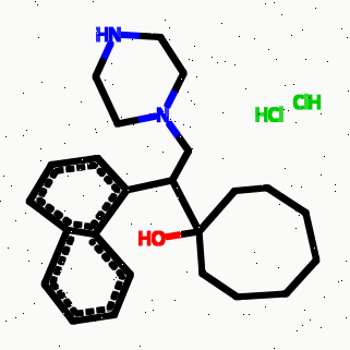 Cl.Cl.OC1(C(CN2CCNCC2)c2cccc3ccccc23)CCCCCCC1